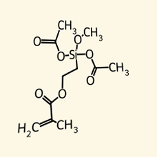 C=C(C)C(=O)OCC[Si](OC)(OC(C)=O)OC(C)=O